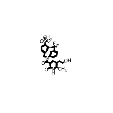 Cc1[nH]c(=O)c(C(=O)N(Cc2ccc(S(C)(=O)=O)cc2)c2cccc(C(F)(F)F)c2)cc1CCO